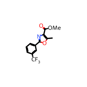 COC(=O)c1nc(-c2cccc(C(F)(F)F)c2)oc1C